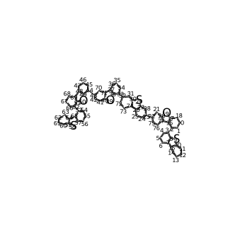 c1cc(-c2cccc3c2sc2ccccc23)c2c(c1)oc1cc(-c3ccc4c(c3)sc3cc(-c5cccc6c5oc5ccc(-c7cccc8c7oc7c(-c9cccc%10sc%11ccccc%11c9%10)cccc78)cc56)ccc34)ccc12